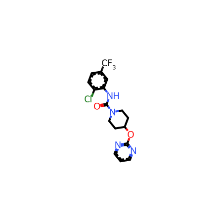 O=C(Nc1cc(C(F)(F)F)ccc1Cl)N1CCC(Oc2ncccn2)CC1